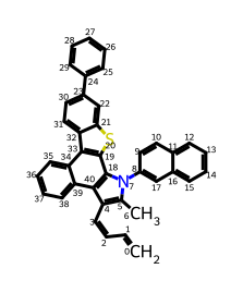 C=C/C=C\c1c(C)n(-c2ccc3ccccc3c2)c2c3sc4cc(-c5ccccc5)ccc4c3c3ccccc3c12